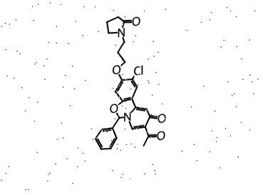 CC(=O)c1cn2c(cc1=O)-c1cc(Cl)c(OCCCN3CCCC3=O)cc1OC2c1ccccc1